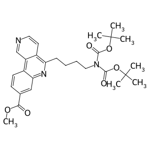 COC(=O)c1ccc2c(c1)nc(CCCCN(C(=O)OC(C)(C)C)C(=O)OC(C)(C)C)c1ccncc12